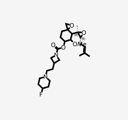 COC1C(OC(=O)N2CC(CCN3CCC(F)CC3)C2)CCC2(CO2)C1[C@@]1(C)O[C@@H]1CC=C(C)C